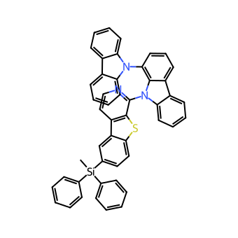 C[Si](c1ccccc1)(c1ccccc1)c1ccc2sc3c(-n4c5ccccc5c5cccc(-n6c7ccccc7c7ccccc76)c54)nccc3c2c1